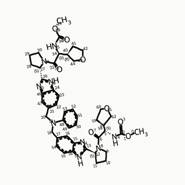 COC(=O)N[C@H](C(=O)N1CCC[C@H]1c1nc2cc(CN(Cc3ccc4[nH]c([C@@H]5CCCN5C(=O)[C@@H](NC(=O)OC)[C@H]5CCOC5)nc4c3)c3ccccc3)ccc2[nH]1)[C@H]1CCOC1